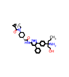 CCCC(N)(CCO)c1ccc(-c2nnc(NC(=O)C[C@H]3CC[C@H](N(CC)C(=O)C4CC4)CC3)cc2-c2ccccc2)cc1